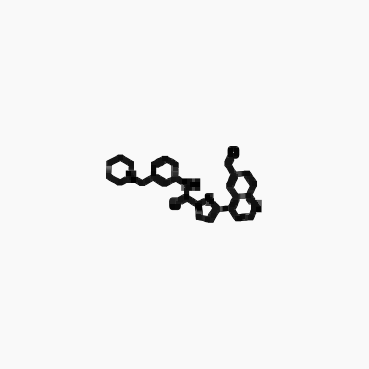 O=Cc1ccc2nccc(-c3ccc(C(=O)Nc4cccc(CN5CCCCC5)c4)s3)c2c1